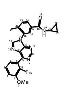 COc1cccc(-c2ncnc3c2ncn3-c2cc(C(=O)NC3CC3)ccc2C)c1F